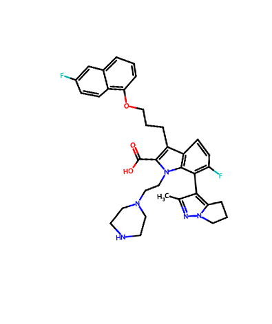 Cc1nn2c(c1-c1c(F)ccc3c(CCCOc4cccc5cc(F)ccc45)c(C(=O)O)n(CCN4CCNCC4)c13)CCC2